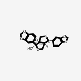 O[C@@]1(c2ccc3c(c2)OCO3)OC[C@@H]2[C@@H](c3ccc4c(c3)OCO4)OC[C@@]21O